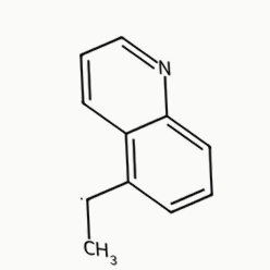 C[CH]c1cccc2ncccc12